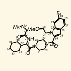 CNCC(=O)NC(C(=O)N1CCN(C(=O)c2cc3ccc(F)cc3n2CCOC)CC1)C1CCCCC1